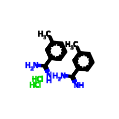 Cc1cccc(C(=N)N)c1.Cc1cccc(C(=N)N)c1.Cl.Cl